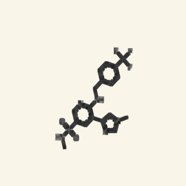 CNS(=O)(=O)c1cnc(NCc2ccc(C(F)(F)F)cc2)c(-c2cn(C)cn2)c1